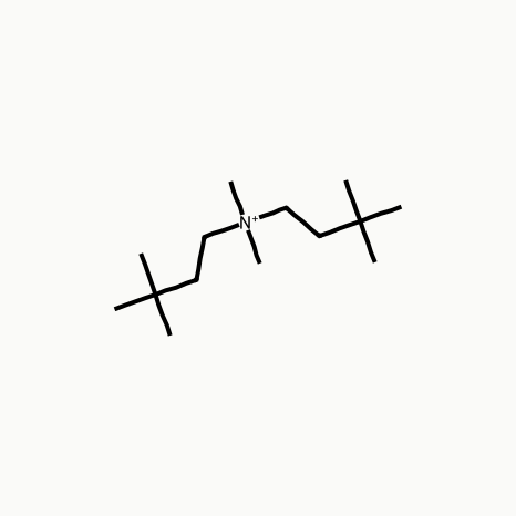 CC(C)(C)CC[N+](C)(C)CCC(C)(C)C